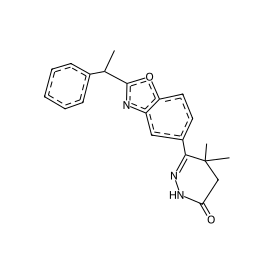 CC(c1ccccc1)c1nc2cc(C3=NNC(=O)CC3(C)C)ccc2o1